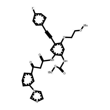 CC(C)(C)OCCOc1cc(NC(=O)OC(C)(C)C)c(NC(=O)CC(=O)c2cccc(-n3ccnc3)c2)cc1C#Cc1ccc(F)cc1